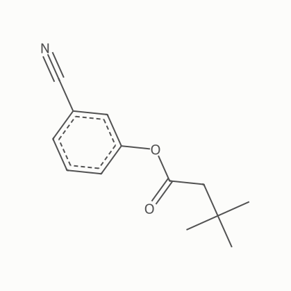 CC(C)(C)CC(=O)Oc1cccc(C#N)c1